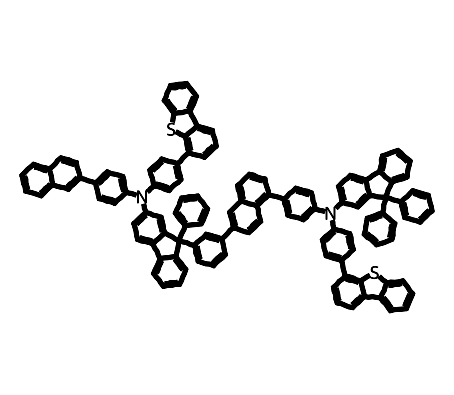 c1ccc(C2(c3ccccc3)c3ccccc3-c3ccc(N(c4ccc(-c5cccc6cc(-c7cccc(C8(c9ccccc9)c9ccccc9-c9ccc(N(c%10ccc(-c%11ccc%12ccccc%12c%11)cc%10)c%10ccc(-c%11cccc%12c%11sc%11ccccc%11%12)cc%10)cc98)c7)ccc56)cc4)c4ccc(-c5cccc6c5sc5ccccc56)cc4)cc32)cc1